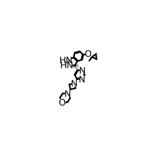 CC1(Oc2ccc3c(c2)[C@H](c2cc(N4CC(N5CCOCC5)C4)ncn2)NN3)CC1